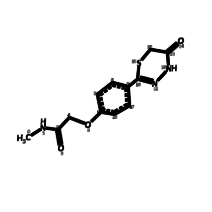 CNC(=O)COc1ccc(C2=NNC(=O)CS2)cc1